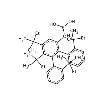 CCC(C)(C)c1ccccc1-c1c(OP(O)O)cc(C(C)(C)CC)c(C(C)(C)CC)c1-c1ccccc1C(C)(C)CC